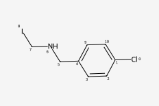 Clc1ccc(CNCI)cc1